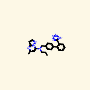 CCCN(Cc1ccc(-c2ccccc2-c2nnn[nH]2)cc1)c1cc(C)nc2ccnn12